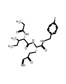 CCC(=O)N[C@H](C(=O)N[C@@H](CCC(=O)C=N)C(=O)NCc1ccc(F)cc1)C(C)CC